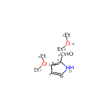 CCOCC.CCOCC.O=Cc1ccc[nH]1